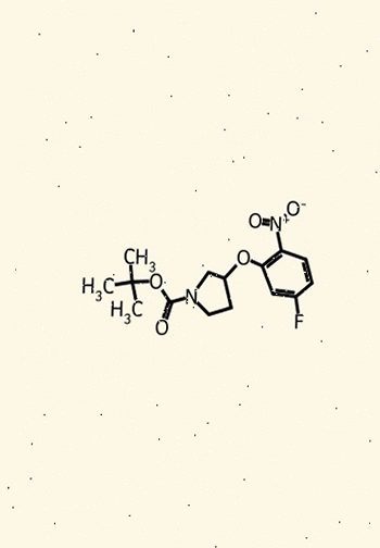 CC(C)(C)OC(=O)N1CCC(Oc2cc(F)ccc2[N+](=O)[O-])C1